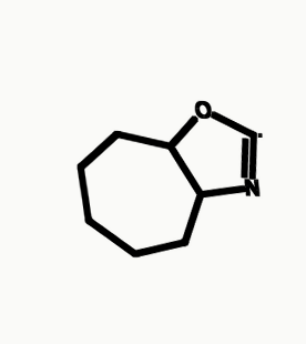 [C]1=NC2CCCCCC2O1